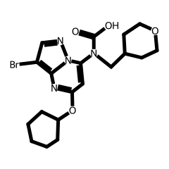 O=C(O)N(CC1CCOCC1)c1cc(OC2CCCCC2)nc2c(Br)cnn12